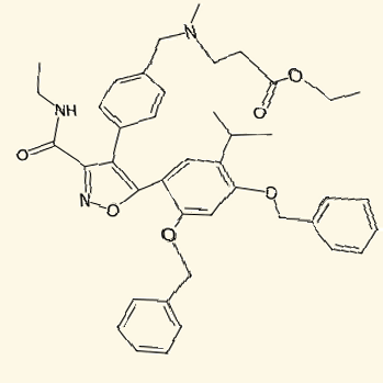 CCNC(=O)c1noc(-c2cc(C(C)C)c(OCc3ccccc3)cc2OCc2ccccc2)c1-c1ccc(CN(C)CCC(=O)OCC)cc1